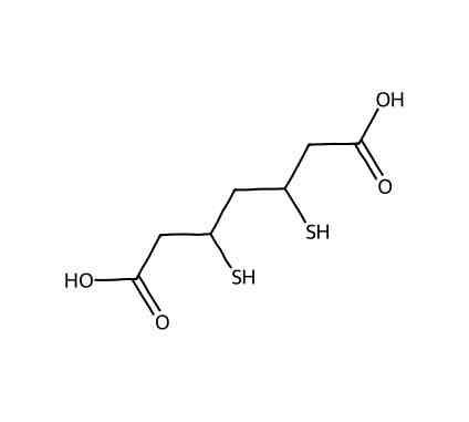 O=C(O)CC(S)CC(S)CC(=O)O